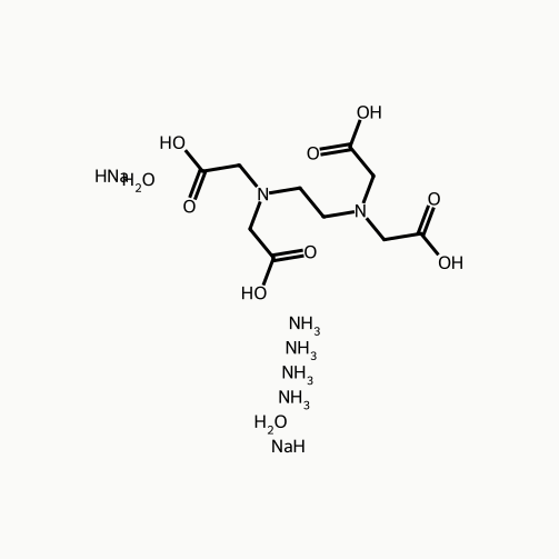 N.N.N.N.O.O.O=C(O)CN(CCN(CC(=O)O)CC(=O)O)CC(=O)O.[NaH].[NaH]